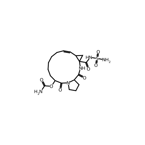 NC(=O)OC1CCCCCC=CC2CC2(C(=O)NS(N)(=O)=O)NC(=O)C2CCCN2C1=O